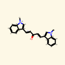 Cn1cc(/C=C/C(=O)/C=C/c2cn(C)c3ccccc23)c2ccccc21